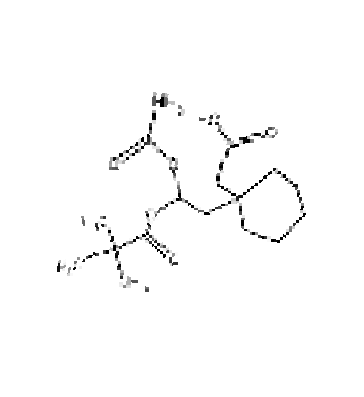 CC(C)(C)C(=O)OC(CC1(CC(=O)O)CCCCC1)OC(N)=O